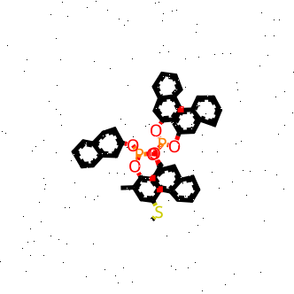 CSc1cc(C)c(OP(Oc2ccc3ccccc3c2)Oc2ccc3ccccc3c2)c(COP(Oc2ccc3ccccc3c2)Oc2ccc3ccccc3c2)c1